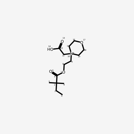 CCC(C)(C)C(=O)OCC[N+]1(CC(=O)O)CCOCC1